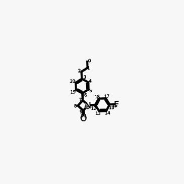 CCCc1ccc(C2CC(=O)N2c2ccc(F)cc2)cc1